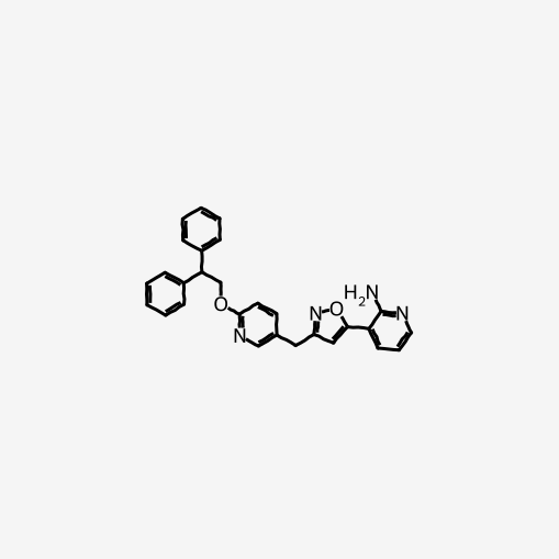 Nc1ncccc1-c1cc(Cc2ccc(OCC(c3ccccc3)c3ccccc3)nc2)no1